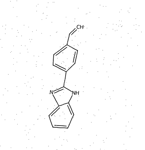 [CH]=Cc1ccc(-c2nc3ccccc3[nH]2)cc1